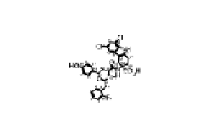 O=C(Cc1ccccc1F)N[C@@H](CCc1ccc(O)cc1)C(=O)N[C@]1(C(=O)O)CCc2[nH]c3c(Cl)cc(Cl)cc3c2C1